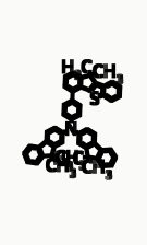 CC1(C)c2ccccc2-c2ccc(N(c3ccc(-c4cccc5c4-c4sc6ccccc6c4C5(C)C)cc3)c3ccc4c(c3)C(C)(C)c3ccccc3-4)cc21